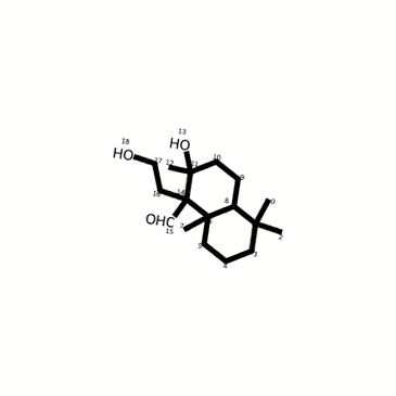 CC1(C)CCCC2(C)C1CCC(C)(O)C2(C=O)CCO